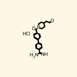 Cl.N=C(N)c1ccc(-c2ccc(C(=O)N3CCC(CC=O)CC3)cc2)cc1